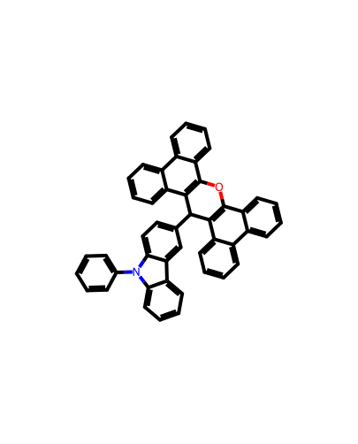 c1ccc(-n2c3ccccc3c3cc(C4c5c(c6ccccc6c6ccccc56)Oc5c4c4ccccc4c4ccccc54)ccc32)cc1